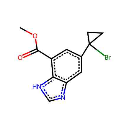 COC(=O)c1cc(C2(Br)CC2)cc2nc[nH]c12